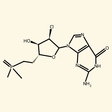 C=P(C)(C)CC[C@H]1OC(n2cnc3c(=O)[nH]c(N)nc32)[C@H](Cl)[C@@H]1O